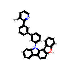 N#Cc1cccnc1-c1cccc(-c2cccc(-n3c4ccccc4c4ccc5oc6ccccc6c5c43)c2)c1